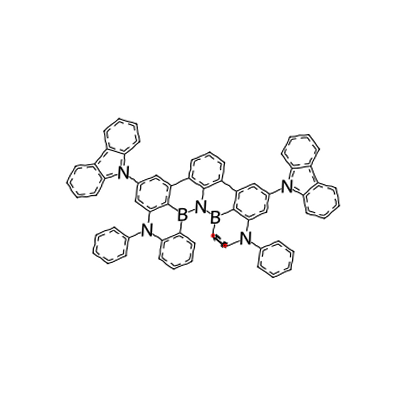 c1ccc(N2c3ccccc3B3c4c(cc(-n5c6ccccc6c6ccccc65)cc42)-c2cccc4c2N3B2c3ccccc3N(c3ccccc3)c3cc(-n5c6ccccc6c6ccccc65)cc-4c32)cc1